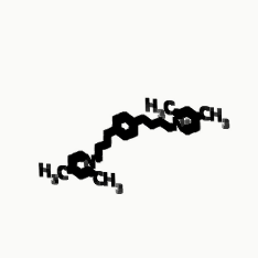 Cc1cc[n+](CCCCc2ccc(CCCC[n+]3ccc(C)cc3C)cc2)c(C)c1